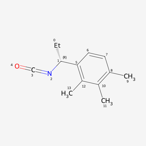 CC[C@@H](N=C=O)c1ccc(C)c(C)c1C